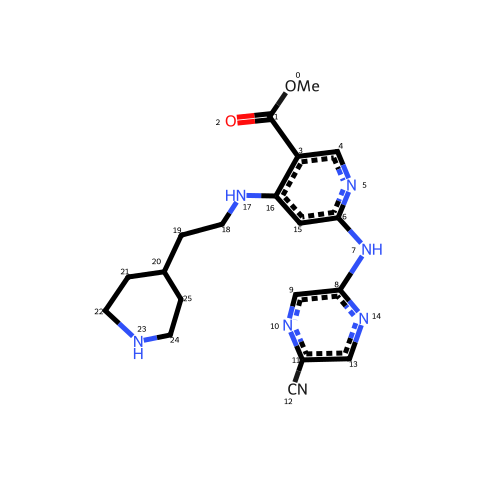 COC(=O)c1cnc(Nc2cnc(C#N)cn2)cc1NCCC1CCNCC1